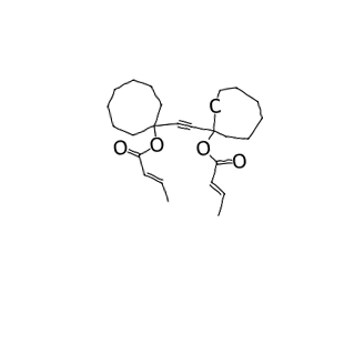 C/C=C/C(=O)OC1(C#CC2(OC(=O)/C=C/C)CCCCCCC2)CCCCCCC1